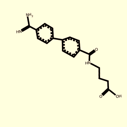 N=C(N)c1ccc(-c2ccc(C(=O)NCCCC(=O)O)cc2)cc1